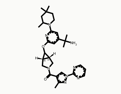 Cc1nn(-c2ncccn2)cc1C(=O)N1C[C@@H]2C(Oc3cc(C(C)(C)N)cc(N4CCC(C)(C)CC4C)n3)[C@@H]2C1